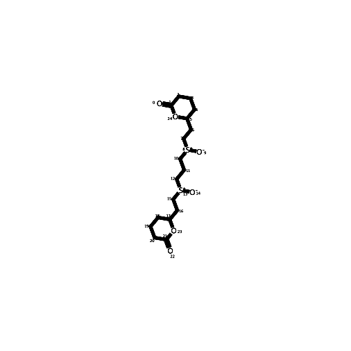 O=C1CCCC(CC[S+]([O-])CCC[S+]([O-])CCC2CCCC(=O)O2)O1